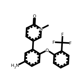 Cn1cc(-c2cc(N)ccc2Oc2ccccc2C(F)(F)F)ccc1=O